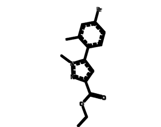 CCOC(=O)c1cc(-c2ccc(Br)cc2C)n(C)n1